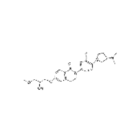 COCC(O)COc1ccc2c(c1)CCN(c1ccc(N3CC[C@@H](N(C)C)C3)c(F)c1)C2=O